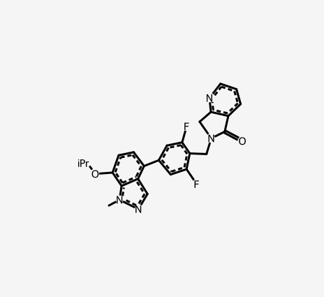 CC(C)Oc1ccc(-c2cc(F)c(CN3Cc4ncccc4C3=O)c(F)c2)c2cnn(C)c12